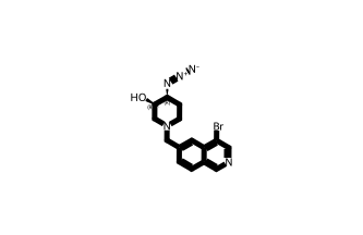 [N-]=[N+]=N[C@@H]1CCN(Cc2ccc3cncc(Br)c3c2)C[C@H]1O